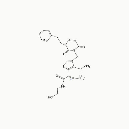 C=C(N)c1c(Cn2c(=O)ccn(CCc3ccccc3)c2=O)csc1/C(=C\C)C(=O)NCCO